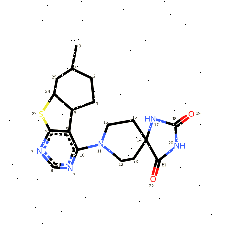 CC1CCC2c3c(ncnc3N3CCC4(CC3)NC(=O)NC4=O)SC2C1